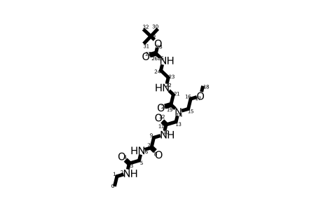 CCNC(=O)CNC(=O)CNC(=O)CN(CCOC)C(=O)CNCCNC(=O)OC(C)(C)C